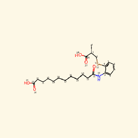 CC(CSc1ccccc1NC(=O)CCCCCCCCCCC(=O)O)C(=O)O